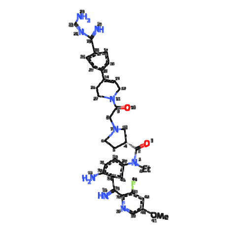 CCN(C(=O)[C@@H]1CCN(CC(=O)N2CC=C(c3ccc(C(=N)/N=C\N)cc3)CC2)C1)c1ccc(N)c(C(=N)c2ncc(OC)cc2F)c1